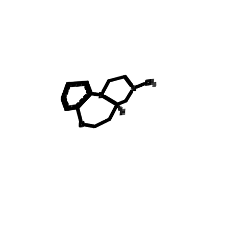 CN1CCN2c3ccccc3OCC[C@@H]2C1